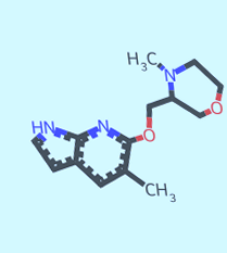 Cc1cc2cc[nH]c2nc1OCC1COCCN1C